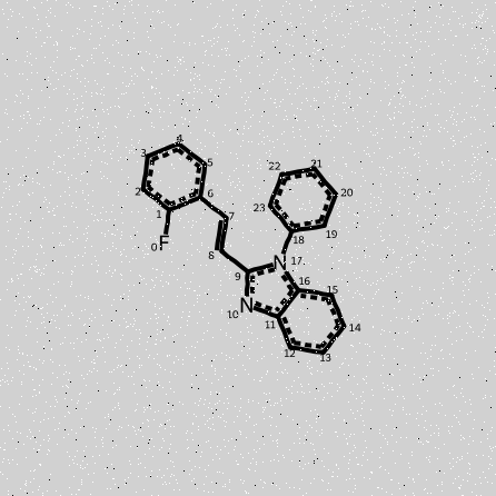 Fc1ccccc1C=Cc1nc2ccccc2n1-c1ccccc1